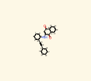 O=C1C=C(Nc2ccccc2C#Cc2ccccc2)C(=O)c2ccccc21